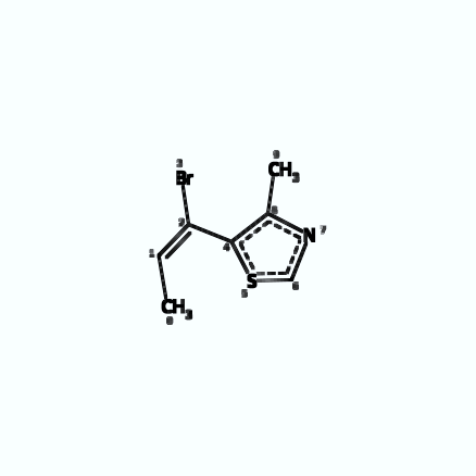 C/C=C(/Br)c1scnc1C